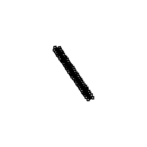 ClC(Cl)C(Cl)(Cl)C(Cl)(Cl)C(Cl)(Cl)C(Cl)(Cl)C(Cl)(Cl)C(Cl)(Cl)C(Cl)(Cl)C(Cl)(Cl)C(Cl)(Cl)C(Cl)(Cl)C(Cl)(Cl)C(Cl)(Cl)C(Cl)(Cl)C(Cl)(Cl)C(Cl)(Cl)C(Cl)(Cl)C(Cl)(Cl)C(Cl)(Cl)C(Cl)(Cl)C(Cl)(Cl)C(Cl)(Cl)C(Cl)(Cl)C(Cl)(Cl)C(Cl)(Cl)C(Cl)(Cl)C(Cl)(Cl)C(Cl)(Cl)C(Cl)(Cl)C(Cl)(Cl)Cl